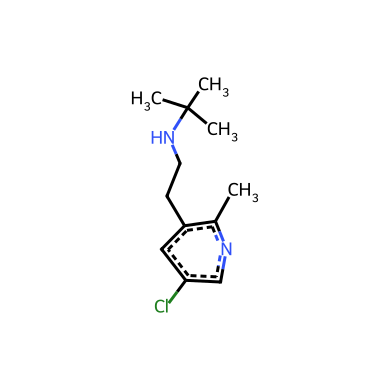 Cc1ncc(Cl)cc1CCNC(C)(C)C